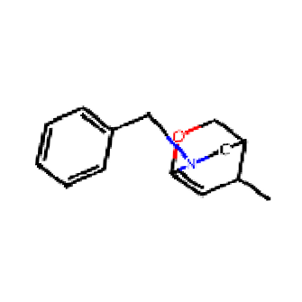 CC1C=C2OCC1CN2Cc1ccccc1